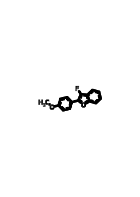 COc1ccc(-c2oc3ccccc3c2F)cc1